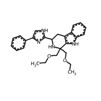 CCOCC1(COCC)NC(c2nc(-c3ccccc3)c[nH]2)Cc2c1[nH]c1ccccc21